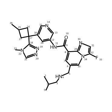 CC(C)CNCc1cc(C(=O)Nc2cncc(C3(c4nncn4C)CC(C)C3)c2)c2ncc(F)n2c1